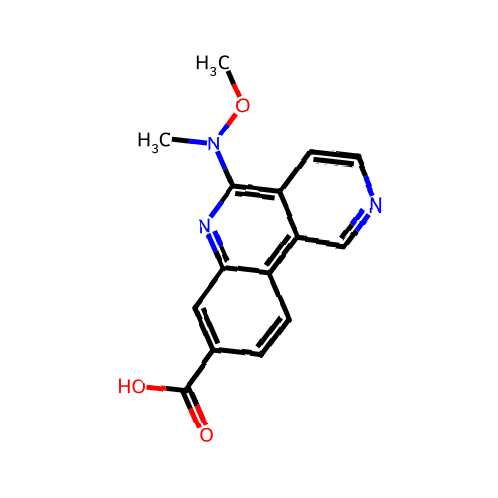 CON(C)c1nc2cc(C(=O)O)ccc2c2cnccc12